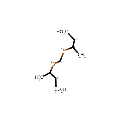 CC(CC(=O)O)SCSC(C)CC(=O)O